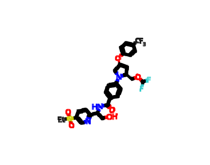 CCS(=O)(=O)c1ccc(C(CO)NC(=O)c2ccc(N3C[C@H](Oc4ccc(C(F)(F)F)cc4)C[C@H]3COC(F)F)cc2)nc1